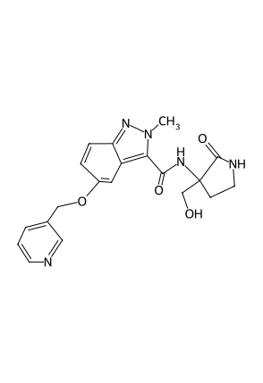 Cn1nc2ccc(OCc3cccnc3)cc2c1C(=O)NC1(CO)CCNC1=O